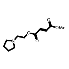 COC(=O)/C=C/C(=O)OCCN1CCCC1